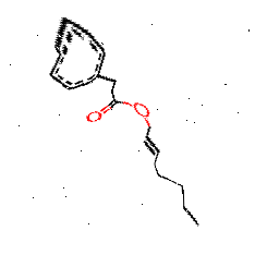 CCCCC=COC(=O)Cc1ccccc1